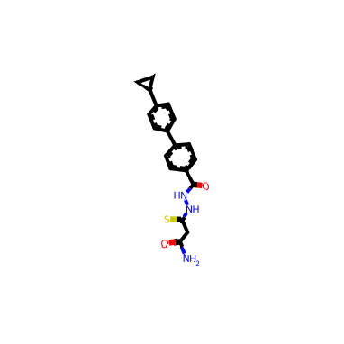 NC(=O)CC(=S)NNC(=O)c1ccc(-c2ccc(C3CC3)cc2)cc1